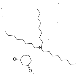 CCCCCCCCN(CCCCCCCC)CCCCCCCC.O=C1CCCC(=O)C1